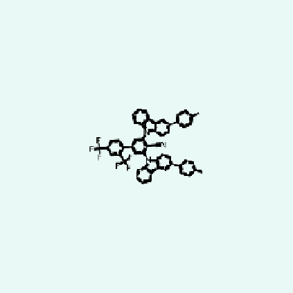 Cc1ccc(-c2ccc3c(c2)c2ccccc2n3-c2cc(-c3ccc(C(F)(F)F)cc3C(F)(F)F)cc(-n3c4ccccc4c4cc(-c5ccc(C)cc5)ccc43)c2C#N)cc1